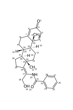 C[C@]12C=CC(=O)C=C1CC[C@@H]1[C@@H]2CC[C@]2(C)C(=C(CO)NC(=O)c3ccccc3)CC[C@@H]12